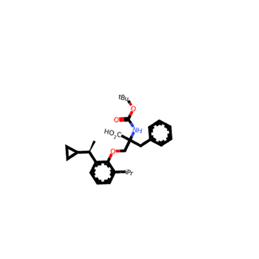 CC(C)c1cccc([C@H](C)C2CC2)c1OCC(Cc1ccccc1)(NC(=O)OC(C)(C)C)C(=O)O